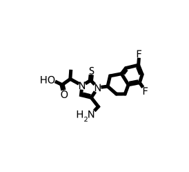 CC(C(=O)O)n1cc(CN)n(C2CCc3c(F)cc(F)cc3C2)c1=S